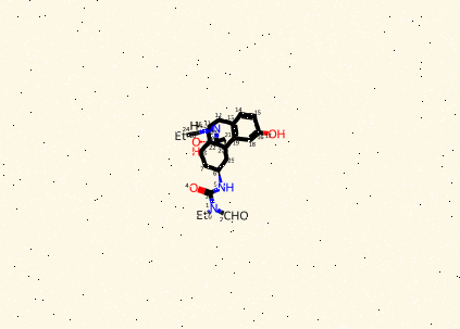 CCN(C=O)C(=O)N[C@H]1CC[C@@]2(O)[C@H]3Cc4ccc(O)cc4[C@@]2(CCN3CC)C1